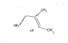 CC=C(C)CCCC.F